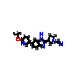 CC(C)Oc1ccc(-c2ccc3nc(C4CCN(C#N)C4)[nH]c3c2)cn1